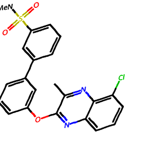 CNS(=O)(=O)c1cccc(-c2cccc(Oc3nc4cccc(Cl)c4nc3C)c2)c1